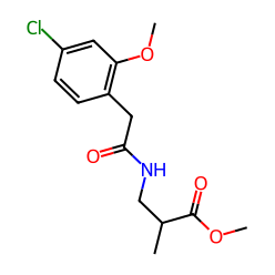 COC(=O)C(C)CNC(=O)Cc1ccc(Cl)cc1OC